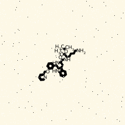 CC(C)(C)OC(=O)C(CCCCN)NC(=O)C1Cc2c([nH]c3ccccc23)C(c2cccc(OCc3ccccn3)c2)N1